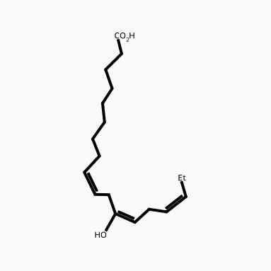 CC/C=C\C/C=C(/O)C/C=C\CCCCCCCC(=O)O